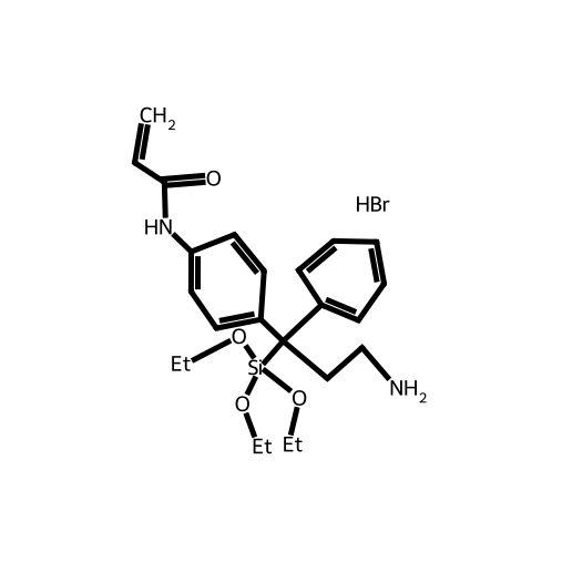 Br.C=CC(=O)Nc1ccc(C(CCN)(c2ccccc2)[Si](OCC)(OCC)OCC)cc1